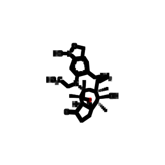 C=C[C@]1(C)C[C@@H](N(CC(=O)O)c2cc3c(cc2CN)COB3O)[C@]2(C)[C@H](C)CC[C@]3(CCC(=O)[C@H]32)[C@@H](C)[C@@H]1O